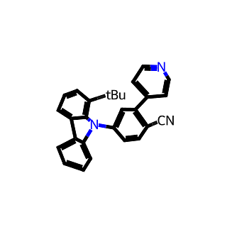 CC(C)(C)c1cccc2c3ccccc3n(-c3ccc(C#N)c(-c4ccncc4)c3)c12